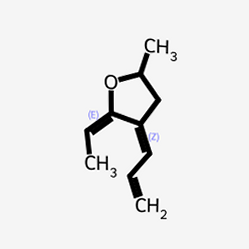 C=C/C=C1/CC(C)O/C1=C/C